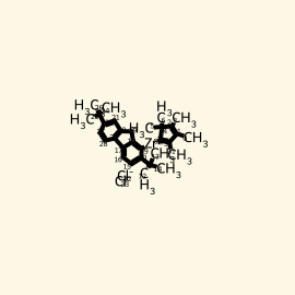 CC1=C(C)C(C)(C)[C]([Zr+2][c]2c(C(C)(C)C)ccc3c2Cc2cc(C(C)(C)C)ccc2-3)=C1C.[Cl-].[Cl-]